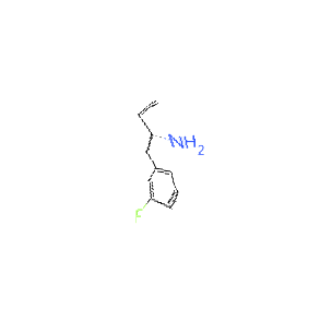 C=C[C@H](N)Cc1cccc(F)c1